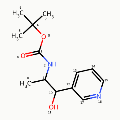 CC(NC(=O)OC(C)(C)C)C(O)c1cccnc1